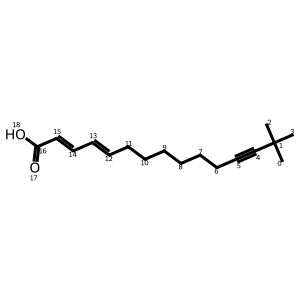 CC(C)(C)C#CCCCCCCC=CC=CC(=O)O